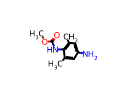 COC(=O)Nc1c(C)cc(N)cc1C